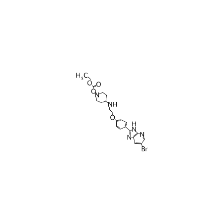 CCOC(=O)ON1CCC(NCCOc2ccc(-c3nc4cc(Br)cnc4[nH]3)cc2)CC1